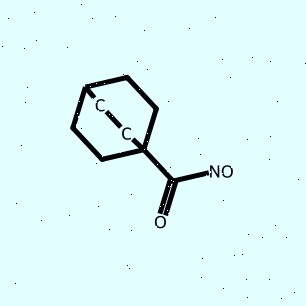 O=NC(=O)C12CCC(CC1)CC2